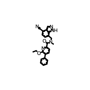 CCOc1nc(C(=O)N(C)Cc2ccc(C#N)c3cn[nH]c23)ccc1-c1ccccc1